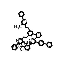 Cc1cc(-c2ccccc2)ncc1CCc1cc(CCc2cnc(-c3ccccc3)cc2C)cc(-c2ccccc2-c2cnc(-c3cccc(C(C)(C)C)c3)cc2-c2ccc(-c3ccccc3)cc2)c1